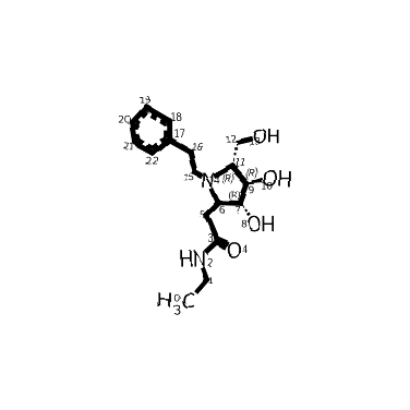 CCNC(=O)CC1[C@@H](O)[C@H](O)[C@@H](CO)N1CCc1ccccc1